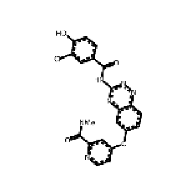 CNC(=O)c1cc(Oc2ccc3nnc(NC(=O)c4ccc(O)c(Cl)c4)nc3c2)ccn1